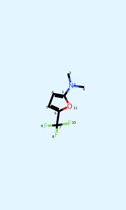 CN(C)c1ccc(C(F)(F)F)o1